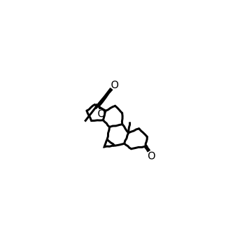 CC12CCC(=O)CC1C1CC1C1C2CCC23OC(=O)CC2CCC13